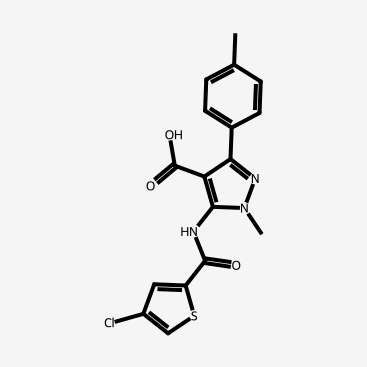 Cc1ccc(-c2nn(C)c(NC(=O)c3cc(Cl)cs3)c2C(=O)O)cc1